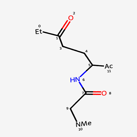 CCC(=O)CCC(NC(=O)CNC)C(C)=O